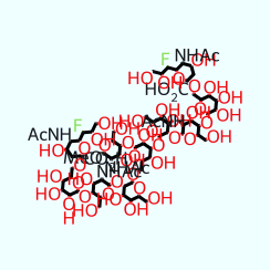 COC1OC(CO)C(OC2OC(COC3OC(CO)C(O)C(O)C3OC3OC(CO)C(OC4OC(COC5(C(=O)O)CC(O)C(NC(C)=O)C([C@H](F)C(O)CO)O5)C(O)C(O)C4O)C(O)C3NC(C)=O)C(O)C(OC3OC(CO)C(O)C(O)C3OC3OC(CO)C(OC4OC(COC5(C(=O)O)CC(O)C(NC(C)=O)C([C@H](F)C(O)CO)O5)C(O)C(O)C4O)C(O)C3NC(C)=O)C2O)C(O)C1NC(C)=O